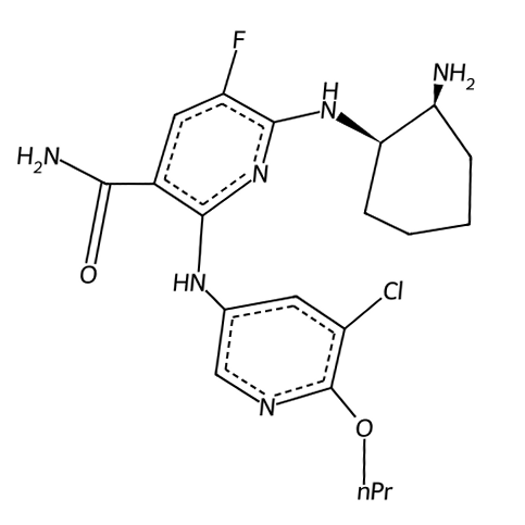 CCCOc1ncc(Nc2nc(N[C@@H]3CCCC[C@@H]3N)c(F)cc2C(N)=O)cc1Cl